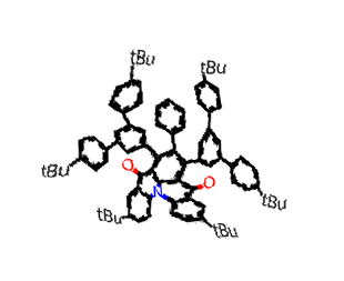 CC(C)(C)c1ccc(-c2cc(-c3ccc(C(C)(C)C)cc3)cc(-c3c(-c4ccccc4)c(-c4cc(-c5ccc(C(C)(C)C)cc5)cc(-c5ccc(C(C)(C)C)cc5)c4)c4c(=O)c5cc(C(C)(C)C)ccc5n5c6ccc(C(C)(C)C)cc6c(=O)c3c45)c2)cc1